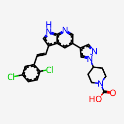 O=C(O)N1CCC(n2cc(-c3cnc4[nH]cc(C=Cc5cc(Cl)ccc5Cl)c4c3)cn2)CC1